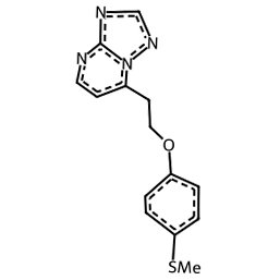 CSc1ccc(OCCc2ccnc3ncnn23)cc1